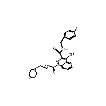 O=C(NCc1ccc(F)cc1)c1nc(C(=O)NCCN2CCOCC2)c2cccnc2c1O